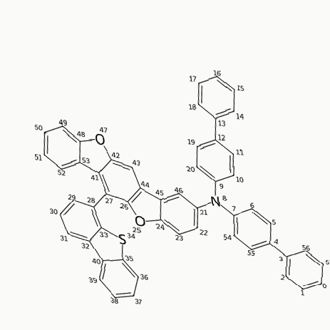 c1ccc(-c2ccc(N(c3ccc(-c4ccccc4)cc3)c3ccc4oc5c(-c6cccc7c6sc6ccccc67)c6c(cc5c4c3)oc3ccccc36)cc2)cc1